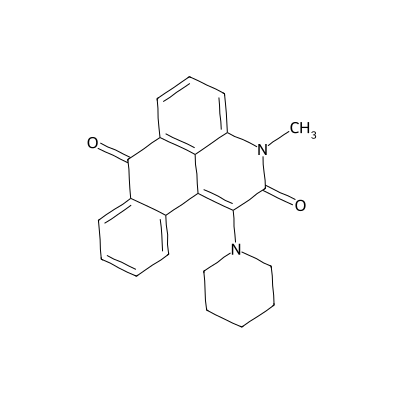 Cn1c(=O)c(N2CCCCC2)c2c3c(cccc31)C(=O)c1ccccc1-2